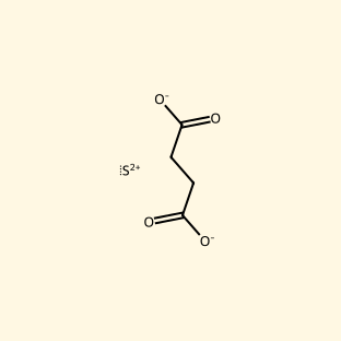 O=C([O-])CCC(=O)[O-].[S+2]